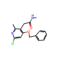 CNC(=O)Cc1c(OCc2ccccc2)cc(Cl)nc1C